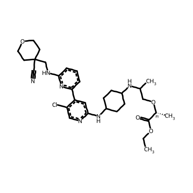 CCOC(=O)[C@@H](C)OCC(C)NC1CCC(Nc2cc(-c3cccc(NCC4(C#N)CCOCC4)n3)c(Cl)cn2)CC1